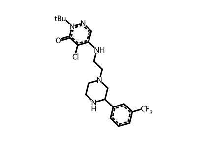 CC(C)(C)n1ncc(NCCN2CCNC(c3cccc(C(F)(F)F)c3)C2)c(Cl)c1=O